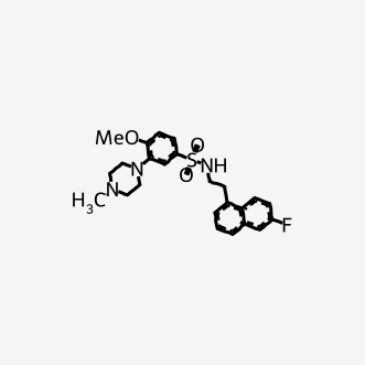 COc1ccc(S(=O)(=O)NCCc2cccc3cc(F)ccc23)cc1N1CCN(C)CC1